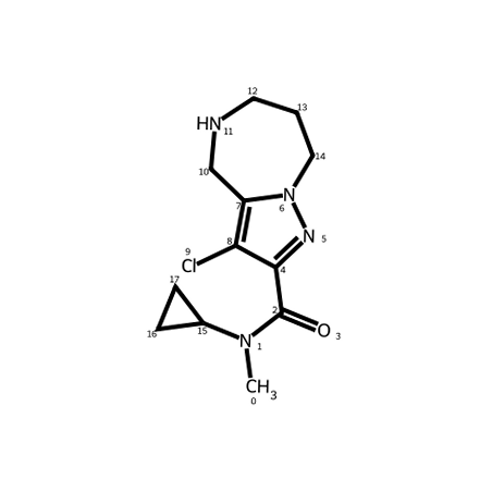 CN(C(=O)c1nn2c(c1Cl)CNCCC2)C1CC1